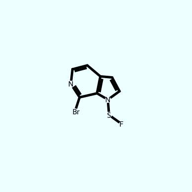 FSn1ccc2ccnc(Br)c21